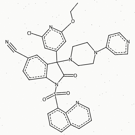 CCOc1cc(C2(N3CCN(c4ccncc4)CC3)C(=O)N(S(=O)(=O)c3cccc4cccnc34)c3ccc(C#N)cc32)cc(Cl)n1